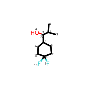 CC(C)[C@H](O)C1CCC(F)(F)CC1